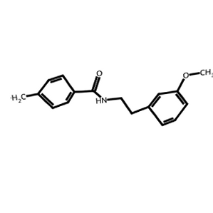 [CH2]c1ccc(C(=O)NCCc2cccc(OC)c2)cc1